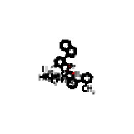 CC1=Cc2c(-c3cccc4ccccc34)ccc(C)c2[CH]1[Zr]([CH3])([CH3])(=[SiH2])[CH]1C(C(C)C)=Cc2c(-c3ccccc3C)cccc21.Cl.Cl